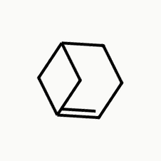 C1=C2CC(CC1)C2